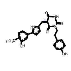 O=C1NC(=S)N(CCc2ccc(O)cc2)C(=O)/C1=C\c1ccc(-c2ccc(C(=O)O)c(O)c2)[nH]1